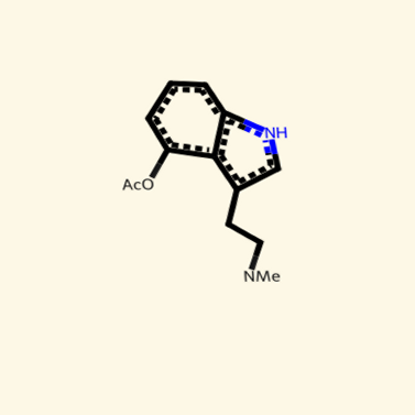 CNCCc1c[nH]c2cccc(OC(C)=O)c12